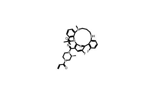 C=CC(=O)N1CCN(c2nc(=O)n3c4nc(c(F)cc24)-c2c(F)cccc2NCCCN(C)c2cccc(C(C)C)c2-3)[C@@H](C)C1